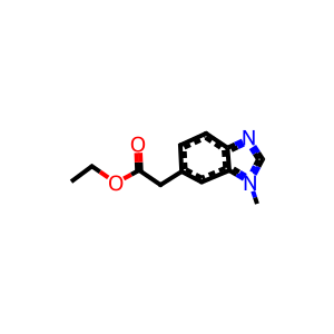 CCOC(=O)Cc1ccc2ncn(C)c2c1